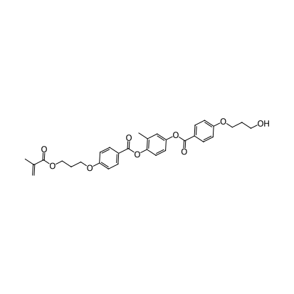 C=C(C)C(=O)OCCCOc1ccc(C(=O)Oc2ccc(OC(=O)c3ccc(OCCCO)cc3)cc2C)cc1